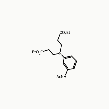 CCOC(=O)CCN(CCC(=O)OCC)c1cccc(NC(C)=O)c1